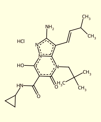 CC(C)C=Cc1c(N)nn2c(O)c(C(=O)NC3CC3)c(=O)n(CC(C)(C)C)c12.Cl